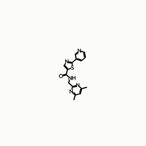 Cc1cc(C)nc(CNC(=O)c2cnc(-c3cccnc3)s2)n1